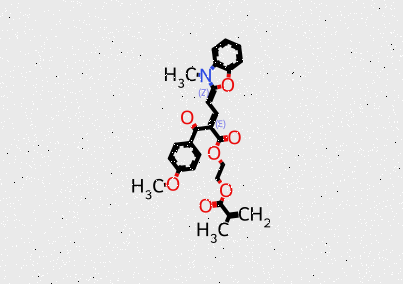 C=C(C)C(=O)OCCOC(=O)/C(=C/C=C1\Oc2ccccc2N1C)C(=O)c1ccc(OC)cc1